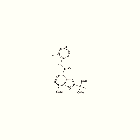 COc1ncc(C(=O)Nc2ccncc2C)c2cc(C(C)(OC)OC)oc12